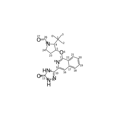 CC(C)(C)C1C(Oc2nc(-c3n[nH]c(=O)[nH]3)cc3ccccc23)CCN1[C]=O